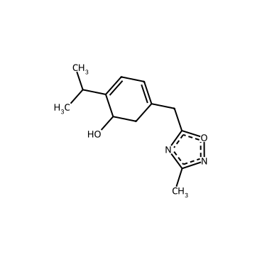 Cc1noc(CC2=CC=C(C(C)C)C(O)C2)n1